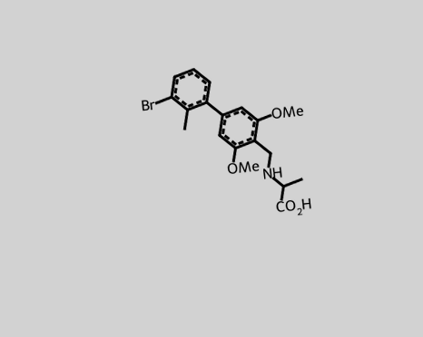 COc1cc(-c2cccc(Br)c2C)cc(OC)c1CNC(C)C(=O)O